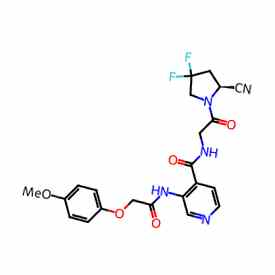 COc1ccc(OCC(=O)Nc2cnccc2C(=O)NCC(=O)N2CC(F)(F)C[C@H]2C#N)cc1